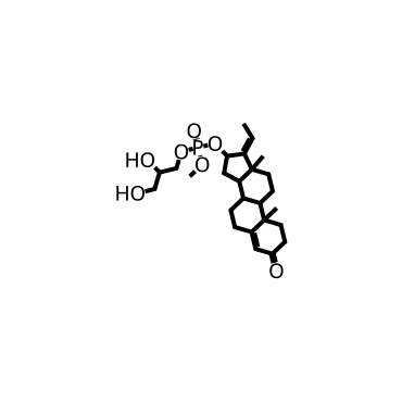 CC=C1C(OP(=O)(OC)OCC(O)CO)CC2C3CCC4=CC(=O)CCC4(C)C3CCC12C